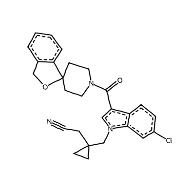 N#CCC1(Cn2cc(C(=O)N3CCC4(CC3)OCc3ccccc34)c3ccc(Cl)cc32)CC1